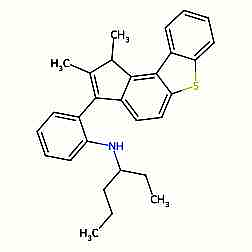 CCCC(CC)Nc1ccccc1C1=C(C)C(C)c2c1ccc1sc3ccccc3c21